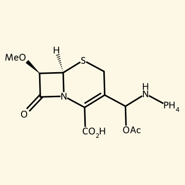 CO[C@@H]1C(=O)N2C(C(=O)O)=C(C(N[PH4])OC(C)=O)CS[C@H]12